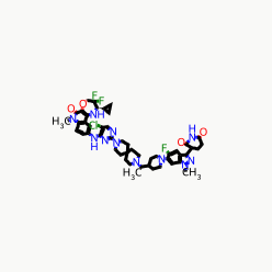 C[C@@H](C1CCN(c2cc3c(cc2F)c(C2CCC(=O)NC2=O)nn3C)CC1)N1CCC2(CCN(c3ncc(Cl)c(Nc4ccc5c(c4)c4c(c(=O)n5C)OCC(F)(F)[C@H](C5CC5)N4)n3)CC2)CC1